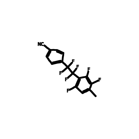 Cc1cc(F)c(C(F)(F)C(F)(F)c2ccc(C#N)cc2)c(F)c1F